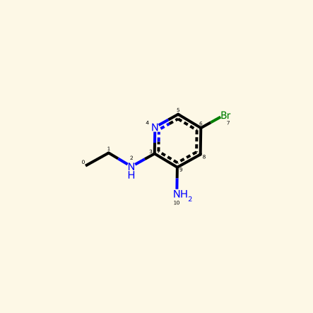 CCNc1ncc(Br)cc1N